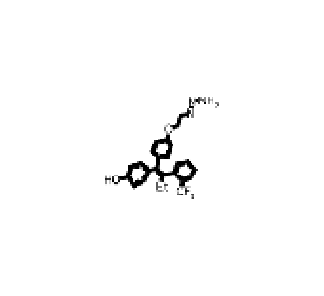 CC/C(=C(\c1ccc(O)cc1)c1ccc(OCCN=NN)cc1)c1ccccc1C(F)(F)F